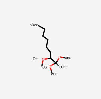 CCCCCCCCCCCCCCCC(OCCCC)C(OCCCC)(OCCCC)C(=O)[O-].[Zr+]